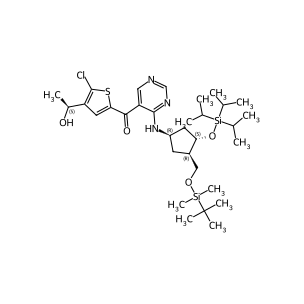 CC(C)[Si](O[C@H]1C[C@H](Nc2ncncc2C(=O)c2cc([C@H](C)O)c(Cl)s2)C[C@@H]1CO[Si](C)(C)C(C)(C)C)(C(C)C)C(C)C